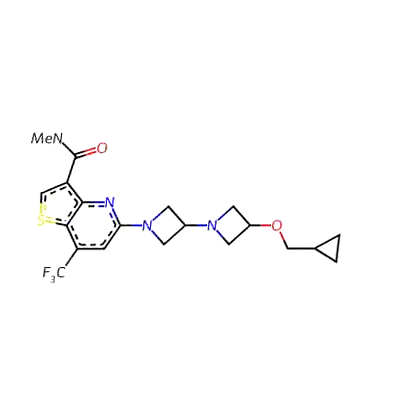 CNC(=O)c1csc2c(C(F)(F)F)cc(N3CC(N4CC(OCC5CC5)C4)C3)nc12